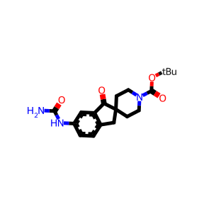 CC(C)(C)OC(=O)N1CCC2(CC1)Cc1ccc(NC(N)=O)cc1C2=O